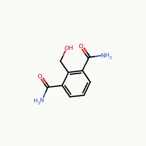 NC(=O)c1cccc(C(N)=O)c1CO